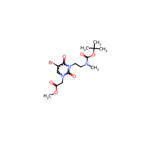 COC(=O)Cn1cc(Br)c(=O)n(CCN(C)C(=O)OC(C)(C)C)c1=O